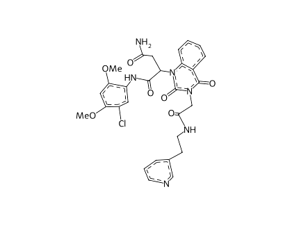 COc1cc(OC)c(NC(=O)C(CC(N)=O)n2c(=O)n(CC(=O)NCCc3cccnc3)c(=O)c3ccccc32)cc1Cl